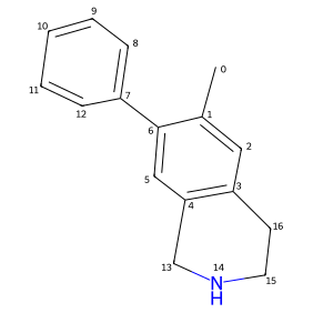 Cc1cc2c(cc1-c1ccccc1)CNCC2